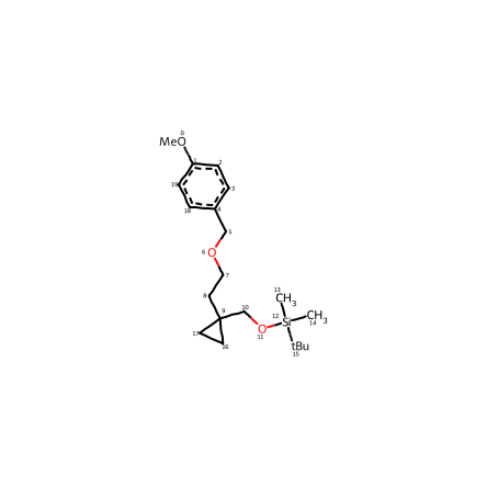 COc1ccc(COCCC2(CO[Si](C)(C)C(C)(C)C)CC2)cc1